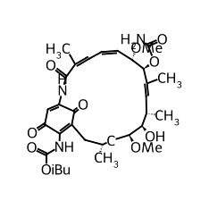 CO[C@H]1/C=C\C=C(/C)C(=O)NC2=CC(=O)C(NC(=O)OCC(C)C)=C(C[C@@H](C)C[C@H](OC)[C@H](O)[C@@H](C)/C=C(\C)[C@@H]1OC(N)=O)C2=O